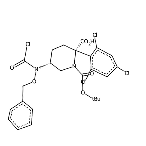 CC(C)(C)OC(=O)N1C[C@H](N(OCc2ccccc2)C(=O)Cl)CC[C@@]1(C(=O)O)c1c(Cl)cc(Cl)cc1Cl